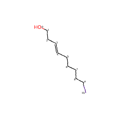 OCC/C=C/CCCCCI